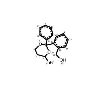 CCCC1CCOC(c2ccccc2)(c2ccccc2CO)O1